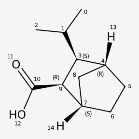 CC(C)[C@H]1[C@@H]2CC[C@@H](C2)[C@H]1C(=O)O